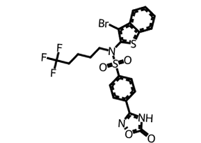 O=c1[nH]c(-c2ccc(S(=O)(=O)N(CCCCC(F)(F)F)c3sc4ccccc4c3Br)cc2)no1